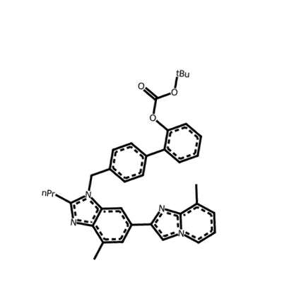 CCCc1nc2c(C)cc(-c3cn4cccc(C)c4n3)cc2n1Cc1ccc(-c2ccccc2OC(=O)OC(C)(C)C)cc1